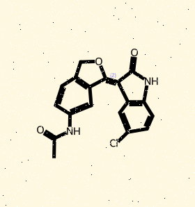 CC(=O)Nc1ccc2c(c1)/C(=C1/C(=O)Nc3ccc(Cl)cc31)OC2